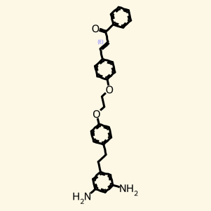 Nc1cc(N)cc(CCc2ccc(OCCOc3ccc(/C=C/C(=O)c4ccccc4)cc3)cc2)c1